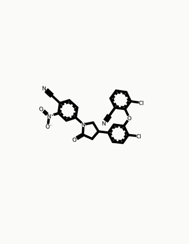 N#Cc1ccc(N2CC(c3ccc(Cl)c(Oc4c(Cl)cccc4C#N)c3)CC2=O)cc1[N+](=O)[O-]